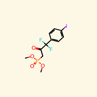 COP(=O)(CC(=O)C(F)(F)c1ccc(I)cc1)OC